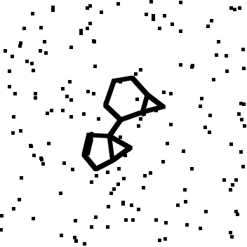 C1=CC2(C3CCCC4C[C]43)CC2C1